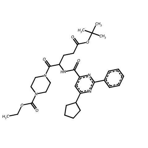 CCOC(=O)N1CCN(C(=O)C(CCC(=O)OC(C)(C)C)NC(=O)c2cc(C3CCCC3)nc(-c3ccccc3)n2)CC1